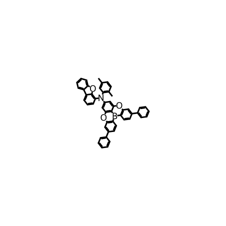 Cc1ccc(C)c(N(c2cc3c4c(c2)Oc2cc(-c5ccccc5)ccc2B4c2ccc(-c4ccccc4)cc2O3)c2cccc3c2oc2ccccc23)c1